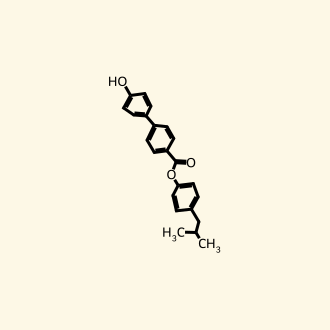 CC(C)Cc1ccc(OC(=O)c2ccc(-c3ccc(O)cc3)cc2)cc1